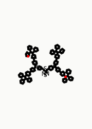 c1ccc(C(=C(c2ccccc2)c2ccc(-c3ccc(N(c4ccc(-c5ccc(C(=C(c6ccccc6)c6ccccc6)c6ccccc6)cc5)cc4)c4ccc(-c5sc(-c6ccc(N(c7ccc(-c8ccc(C(=C(c9ccccc9)c9ccccc9)c9ccccc9)cc8)cc7)c7ccc(-c8ccc(C(=C(c9ccccc9)c9ccccc9)c9ccccc9)cc8)cc7)cc6)c6c5N=S=N6)cc4)cc3)cc2)c2ccccc2)cc1